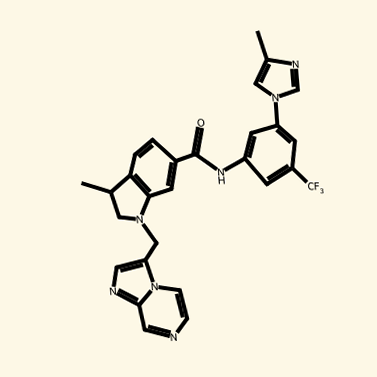 Cc1cn(-c2cc(NC(=O)c3ccc4c(c3)N(Cc3cnc5cnccn35)CC4C)cc(C(F)(F)F)c2)cn1